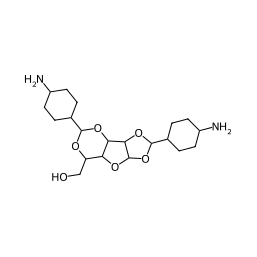 NC1CCC(C2OC3OC4C(CO)OC(C5CCC(N)CC5)OC4C3O2)CC1